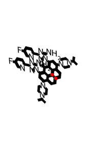 CC(C)N1CCN(c2cc(-n3nc(-c4ccc(F)cn4)nc3N)c(C(=O)c3c(-n4nc(-c5ccc(F)cn5)nc4N)cc(N4CCN(C(C)C)CC4)c4ccccc34)c3ccccc23)CC1